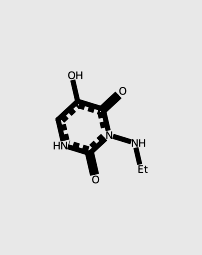 CCNn1c(=O)[nH]cc(O)c1=O